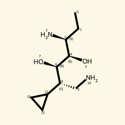 CC[C@H](N)[C@@H](O)[C@H](O)[C@H](CN)C1CC1